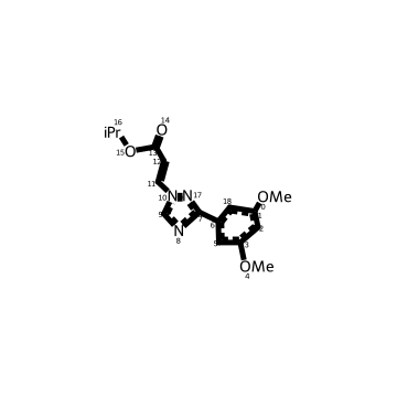 COc1cc(OC)cc(-c2ncn(C=CC(=O)OC(C)C)n2)c1